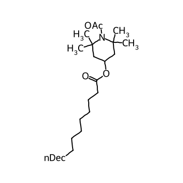 CCCCCCCCCCCCCCCCCC(=O)OC1CC(C)(C)N(OC(C)=O)C(C)(C)C1